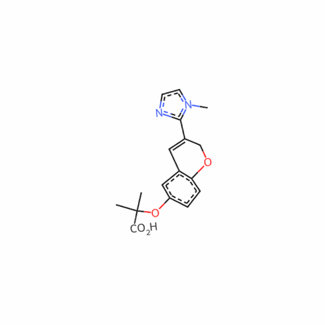 Cn1ccnc1C1=Cc2cc(OC(C)(C)C(=O)O)ccc2OC1